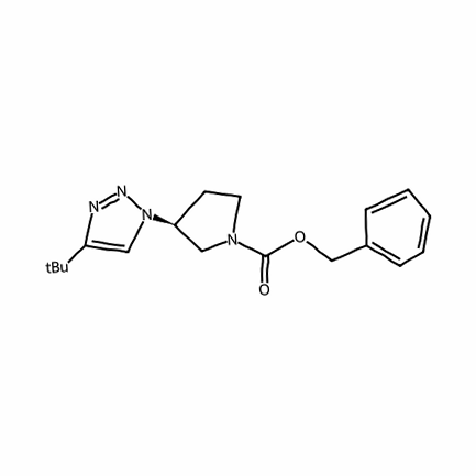 CC(C)(C)c1cn([C@H]2CCN(C(=O)OCc3ccccc3)C2)nn1